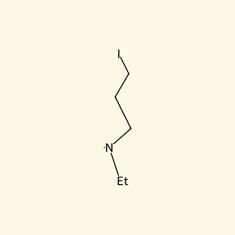 CC[N]CCCI